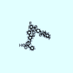 O=C(NC1CCC(n2c(=O)c3cc(F)cnc3n(-c3cccc(-c4ccc(CN5CCN(C(=O)O)C(Cc6ccccc6)C5)cc4Br)c3)c2=O)CC1)c1cn2cc(F)ccc2n1